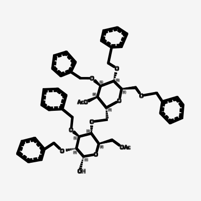 CC(=O)OC[C@H]1O[C@H](O)[C@H](OCc2ccccc2)[C@@H](OCc2ccccc2)[C@@H]1OC[C@H]1O[C@H](COCc2ccccc2)[C@@H](OCc2ccccc2)[C@H](OCc2ccccc2)[C@@H]1OC(C)=O